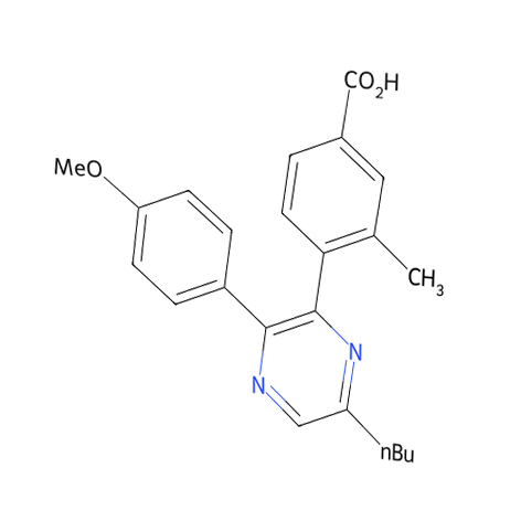 CCCCc1cnc(-c2ccc(OC)cc2)c(-c2ccc(C(=O)O)cc2C)n1